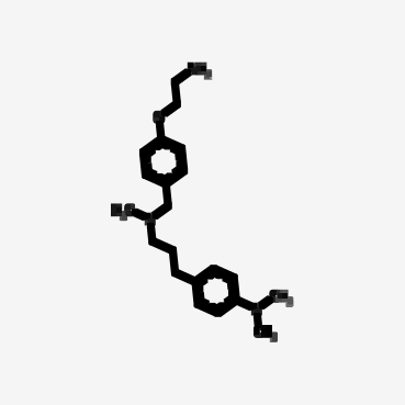 CN(CCCc1ccc(N(C)C)cc1)Cc1ccc(OCCN)cc1